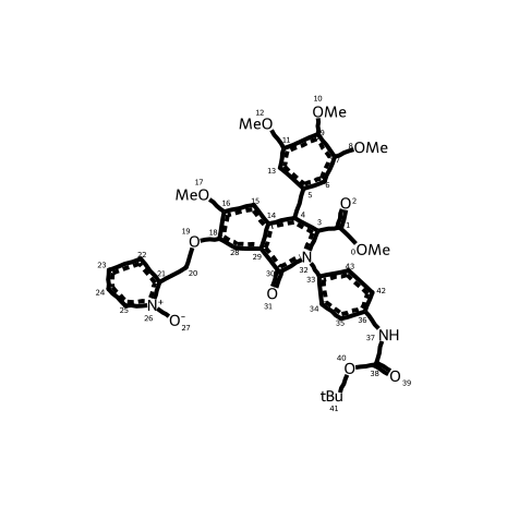 COC(=O)c1c(-c2cc(OC)c(OC)c(OC)c2)c2cc(OC)c(OCc3cccc[n+]3[O-])cc2c(=O)n1-c1ccc(NC(=O)OC(C)(C)C)cc1